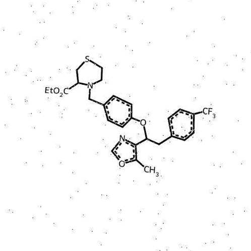 CCOC(=O)C1CSCCN1Cc1ccc(OC(Cc2ccc(C(F)(F)F)cc2)c2ncoc2C)cc1